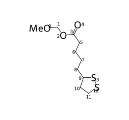 COCOC(=O)CCCCC1CCSS1